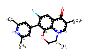 Cc1cc(-c2c(F)cc3c(=O)c(C(=O)O)cn4c3c2OC[C@H]4C)cc(C)n1